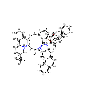 C=C1CC2C(CCc3ccc4c(sc5ccccc54)c3-c3n(-c4c(C)cc(-c5ccccc5)cc4C)c4cc5ccc6ccccc6c5cc4[n+]31)c1ccccc1-c1ccc([Si](C)(C)C)c[n+]12